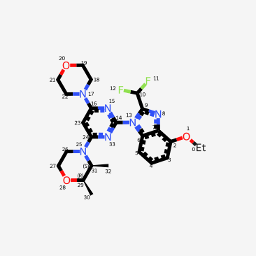 CCOc1cccc2c1nc(C(F)F)n2-c1nc(N2CCOCC2)cc(N2CCO[C@H](C)[C@@H]2C)n1